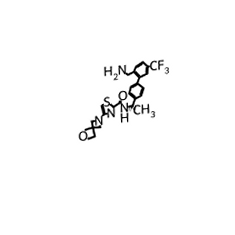 C[C@@H](NC(=O)c1nc(N2CC3(CCOC3)C2)cs1)c1ccc(-c2cc(C(F)(F)F)ccc2CN)cc1